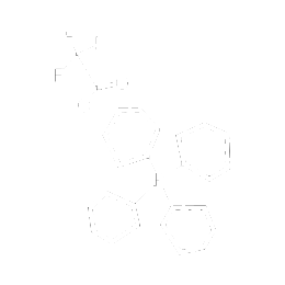 O=C([O-])C(F)(F)F.c1ccc([P+](c2ccccc2)(c2ccccc2)c2ccccc2)cc1